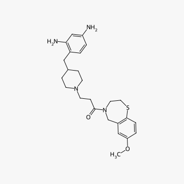 COc1ccc2c(c1)CN(C(=O)CCN1CCC(Cc3ccc(N)cc3N)CC1)CCS2